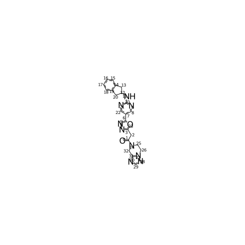 O=C(Cc1nnc(-c2cnc(NC3Cc4ccccc4C3)nc2)o1)N1CCn2ncnc2C1